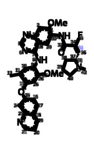 COc1cc2ncnc(Nc3cc(C)c(Oc4ccc5cccnc5c4)cc3OC)c2cc1NC(=O)/C(F)=C\[C@H]1CCCN1C